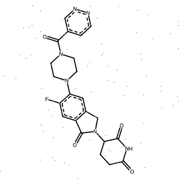 O=C1CCC(N2Cc3cc(N4CCN(C(=O)c5ccnnc5)CC4)c(F)cc3C2=O)C(=O)N1